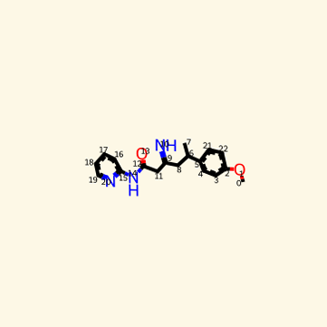 COc1ccc(C(C)CC(=N)CC(=O)Nc2ccccn2)cc1